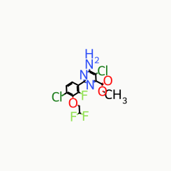 COC(=O)c1nc(-c2ccc(Cl)c(OCC(F)F)c2F)nc(N)c1Cl